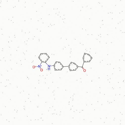 O=C(c1ccccc1)c1ccc(-c2ccc(Nc3ccccc3[N+](=O)[O-])cc2)cc1